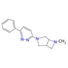 CN1CC2CN(c3ccc(-c4ccccc4)nn3)CC21